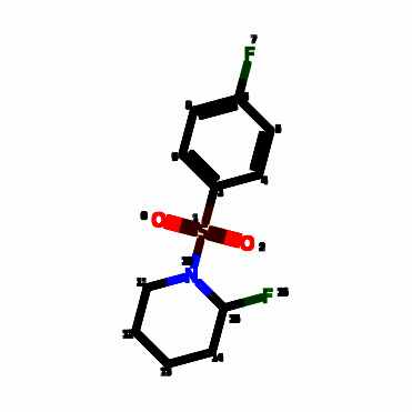 O=S(=O)(c1ccc(F)cc1)N1CCCCC1F